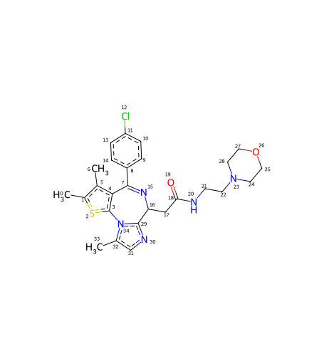 Cc1sc2c(c1C)C(c1ccc(Cl)cc1)=NC(CC(=O)NCCN1CCOCC1)c1ncc(C)n1-2